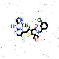 Cn1nccc1Nc1ncc(Cl)c(-c2sc3c(c2F)C(=O)N(Cc2cccc(Cl)c2)C32COC2)n1